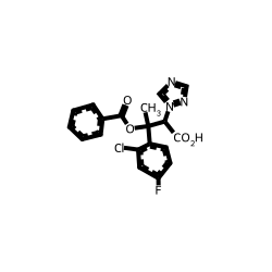 CC(OC(=O)c1ccccc1)(c1ccc(F)cc1Cl)C(C(=O)O)n1cncn1